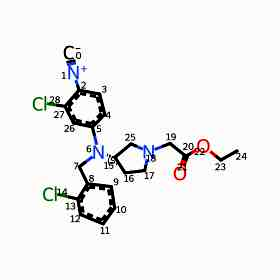 [C-]#[N+]c1ccc(N(Cc2ccccc2Cl)[C@H]2CCN(CC(=O)OCC)C2)cc1Cl